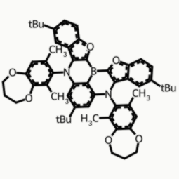 Cc1cc2c(c(C)c1N1c3cc(C(C)(C)C)cc4c3B(c3oc5ccc(C(C)(C)C)cc5c31)c1oc3ccc(C(C)(C)C)cc3c1N4c1c(C)cc3c(c1C)OCCCO3)OCCCO2